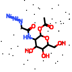 CC(=O)OC1OC(CO)C(O)C(O)C1NC(=O)CN=[N+]=[N-]